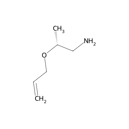 C=CCO[C@H](C)CN